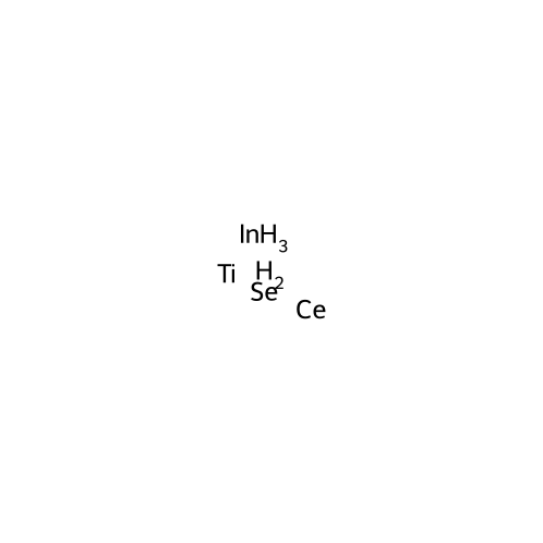 [Ce].[InH3].[SeH2].[Ti]